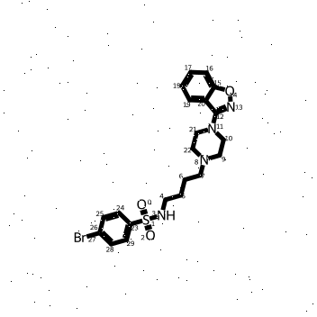 O=S(=O)(NCCCCN1CCN(c2noc3ccccc23)CC1)c1ccc(Br)cc1